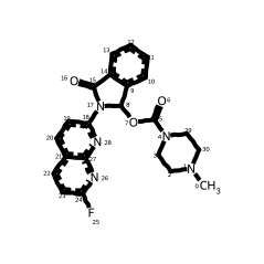 CN1CCN(C(=O)OC2c3ccccc3C(=O)N2c2ccc3ccc(F)nc3n2)CC1